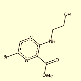 COC(=O)c1nc(Br)cnc1NCCO